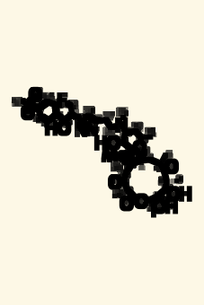 CO[C@]1(C)C[C@@H](C)C(=O)[C@H](C)[C@@H](O)[C@](C)(O)[C@@H](I)OC(=O)[C@H](C)C(=O)[C@H](C)[C@H]1O[C@@H]1O[C@H](C)C[C@H](N(C)CCc2cn([C@H](CF)[C@H](O)c3ccc(S(C)(=O)=O)cc3)nn2)[C@H]1O